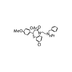 CCCN(CCN1C(=O)C(OC(C)=O)C(c2ccc(OC)cc2)Sc2cc(Cl)ccc21)Cc1ccccc1